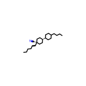 CCCCC=C[C@]1(C#N)CC[C@@H](C2CCC(CCCC)CC2)CC1